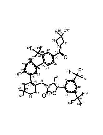 C[C@H]1[C@@H](c2cc(C(F)(F)F)cc(C(F)(F)F)c2)OC(=O)N1CC1=C(c2cc(-c3ccc(C(=O)N4CC(F)(F)C4)cc3C(F)(F)F)ccc2F)CC(C)(C)CC1